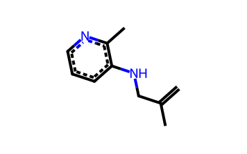 C=C(C)CNc1cccnc1C